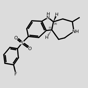 CC1C[C@H]2Nc3ccc(S(=O)(=O)c4cccc(F)c4)cc3[C@@H]2CCN1